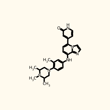 Cc1cc(Nc2ccc(-c3cc[nH]c(=O)c3)n3ccnc23)ccc1N1CC(C)N(C)C(C)C1